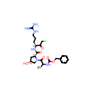 CC(C)C(NC(=O)OCc1ccccc1)C(=O)N1C[C@@H](O)C[C@H]1C(=O)N[C@@H](CCCNC(=N)N)C(=O)CF